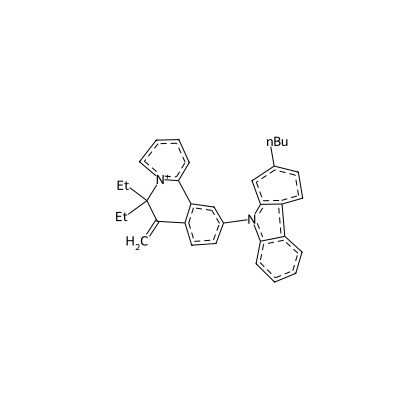 C=C1c2ccc(-n3c4ccccc4c4ccc(CCCC)cc43)cc2-c2cccc[n+]2C1(CC)CC